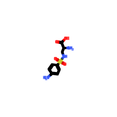 Nc1ccc(S(=O)(=O)NCC(N)C(=O)O)cc1